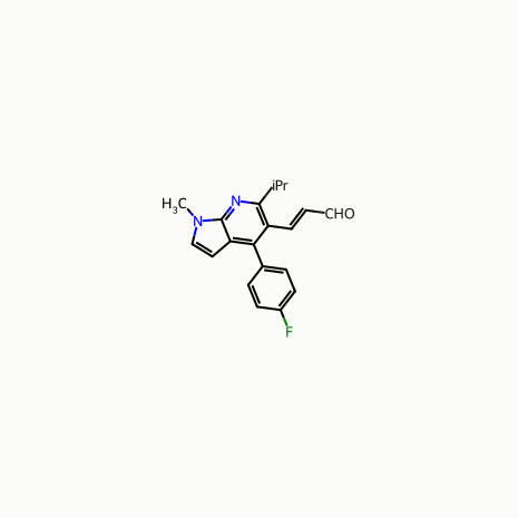 CC(C)c1nc2c(ccn2C)c(-c2ccc(F)cc2)c1/C=C/C=O